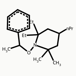 [CH2]CCC1CC(C)(C)N(OC(C)c2ccccc2)C(CC)(CC)C1